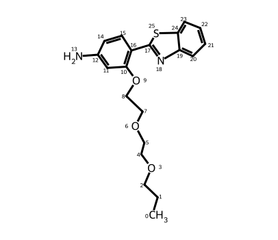 CCCOCCOCCOc1cc(N)ccc1-c1nc2ccccc2s1